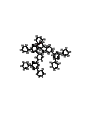 c1ccc(-c2cc(-c3ccc(-n4c5ccccc5c5ccc(-c6nc(-c7ccccc7)nc(-c7ccccc7)n6)cc54)c(-c4nc(-c5ccccc5)nc(-c5ccccc5)n4)c3)nc(-c3ccccc3)n2)cc1